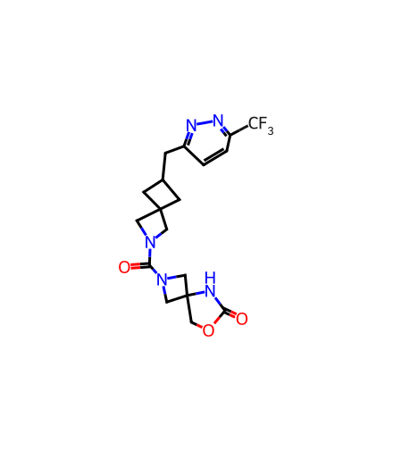 O=C1NC2(CO1)CN(C(=O)N1CC3(CC(Cc4ccc(C(F)(F)F)nn4)C3)C1)C2